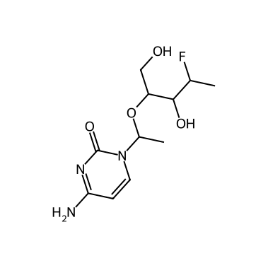 CC(F)C(O)C(CO)OC(C)n1ccc(N)nc1=O